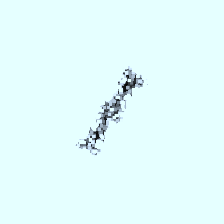 c1ccc(N(c2ccccc2)c2cnc(-c3ccc4c(c3)oc3c5cccc6c7c8ccc(-c9ncc(N(c%10ccccc%10)c%10ccccc%10)cn9)cc8oc7c7cccc(c43)c7c56)nc2)cc1